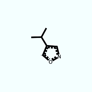 CC(C)c1[c]onc1